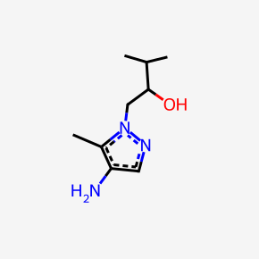 Cc1c(N)cnn1CC(O)C(C)C